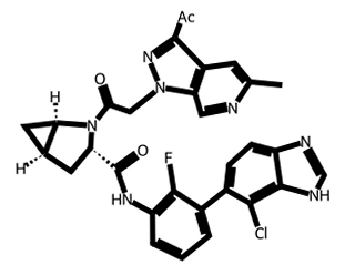 CC(=O)c1nn(CC(=O)N2[C@@H]3C[C@@H]3C[C@H]2C(=O)Nc2cccc(-c3ccc4nc[nH]c4c3Cl)c2F)c2cnc(C)cc12